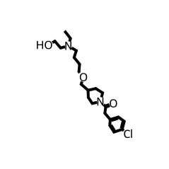 CCN(CCO)CCCCOCC1CCN(C(=O)Cc2ccc(Cl)cc2)CC1